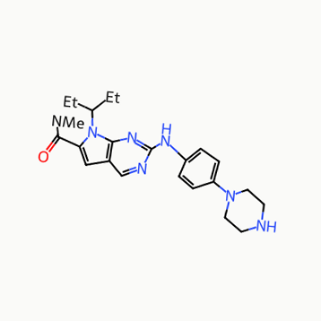 CCC(CC)n1c(C(=O)NC)cc2cnc(Nc3ccc(N4CCNCC4)cc3)nc21